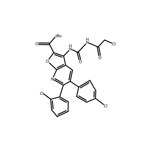 CC(C)(C)C(=O)c1oc2nc(-c3ccccc3Cl)c(-c3ccc(Cl)cc3)cc2c1NC(=O)NC(=O)CCl